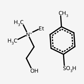 CC[N+](C)(C)CCO.Cc1ccc(S(=O)(=O)O)cc1